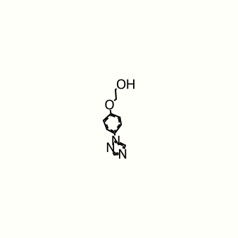 OCCOc1ccc(-n2cncn2)cc1